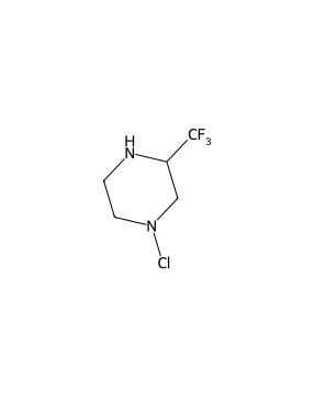 FC(F)(F)C1CN(Cl)CCN1